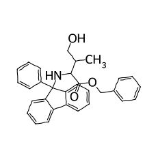 CC(CO)C(NC1(c2ccccc2)c2ccccc2-c2ccccc21)C(=O)OCc1ccccc1